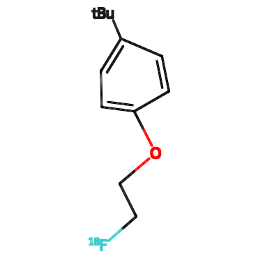 CC(C)(C)c1ccc(OCC[18F])cc1